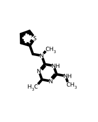 CNC1=NC(C)N=C(N(C)Cc2cccs2)N1